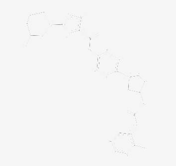 CC1CCCN(c2nc(C(F)(F)F)c(C(=O)Nc3ccc(N4CCC(NC(=O)Nc5ccccc5F)C4)nc3)o2)C1